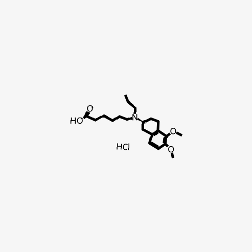 CCCN(CCCCCC(=O)O)[C@H]1CCc2c(ccc(OC)c2OC)C1.Cl